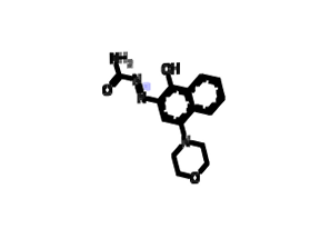 NC(=O)/N=N/c1cc(N2CCOCC2)c2ccccc2c1O